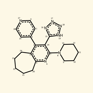 c1cc(-c2c3c(nc(N4CCCCC4)c2-c2nnn[nH]2)CCCCC3)ccn1